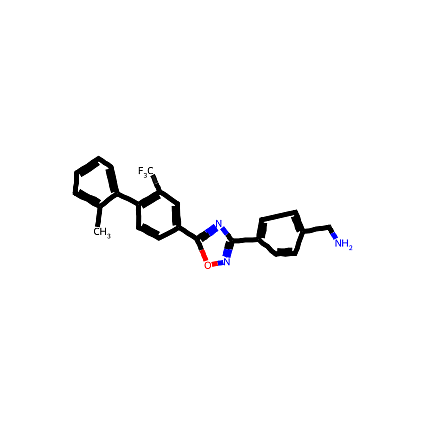 Cc1ccccc1-c1ccc(-c2nc(-c3ccc(CN)cc3)no2)cc1C(F)(F)F